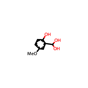 COc1ccc(O)c(C(O)O)c1